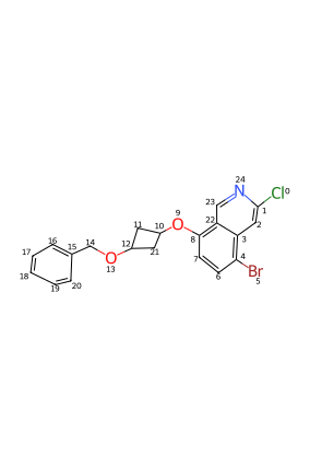 Clc1cc2c(Br)ccc(OC3CC(OCc4ccccc4)C3)c2cn1